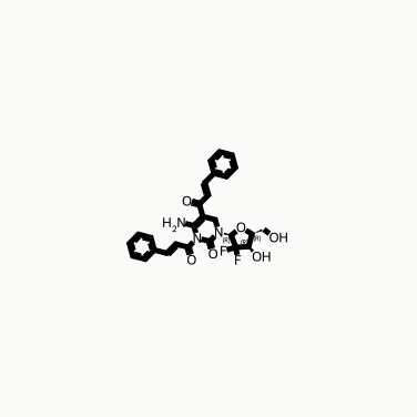 NC1=C(C(=O)C=Cc2ccccc2)CN([C@@H]2O[C@H](CO)[C@@H](O)C2(F)F)C(=O)N1C(=O)C=Cc1ccccc1